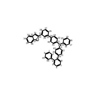 c1ccc(-c2ccccc2-c2ccc(N(c3ccccc3)c3ccc(-c4cccc(-c5cc6ccccc6o5)c4)cc3)cc2)cc1